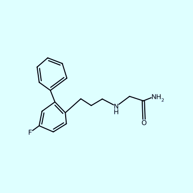 NC(=O)CNCCCc1ccc(F)cc1-c1ccccc1